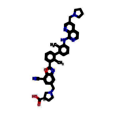 Cc1c(Nc2nccc3cc(CN4CCCC4)cnc23)cccc1-c1cccc(-c2nc3cc(CN4CC[C@@H](C(=O)O)C4)cc(C#N)c3o2)c1C